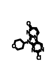 O=c1ccn2c3cnc(Cl)nc3n(C3CCOCC3)c2n1